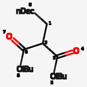 CCCCCCCCCCCC(C(=O)OCC(C)C)C(=O)OCC(C)C